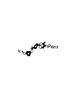 CCCCCC1COC(c2ccc(C(=O)Oc3ccc(OCC)cc3)cc2)OC1C